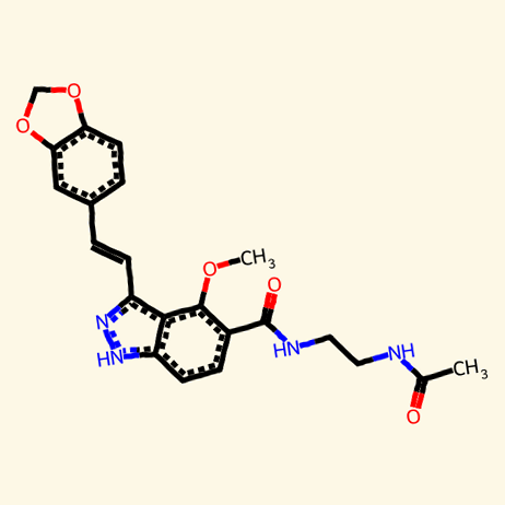 COc1c(C(=O)NCCNC(C)=O)ccc2[nH]nc(/C=C/c3ccc4c(c3)OCO4)c12